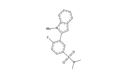 CN(C)S(=O)(=O)c1ccc(F)c(-c2cc3ccccc3n2C(C)(C)C)c1